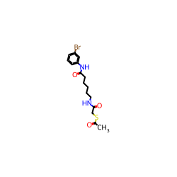 CC(=O)SCC(=O)NCCCCCC(=O)Nc1cccc(Br)c1